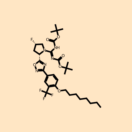 CCCCCCCCOc1ccc(-c2noc([C@@H]3C[C@H](F)CN3/C(=N/C(=O)OC(C)(C)C)NC(=O)OC(C)(C)C)n2)cc1C(F)(F)F